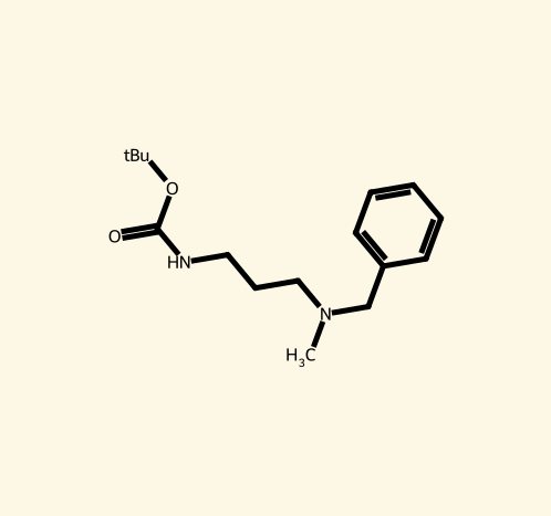 CN(CCCNC(=O)OC(C)(C)C)Cc1ccccc1